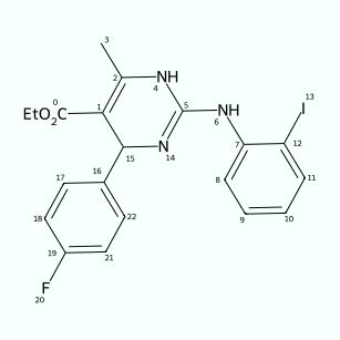 CCOC(=O)C1=C(C)NC(Nc2ccccc2I)=NC1c1ccc(F)cc1